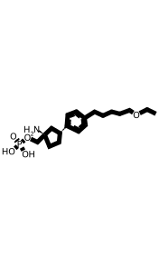 CCOCCCCCc1ccc([C@@H]2CC[C@@](N)(COP(=O)(O)O)C2)cc1